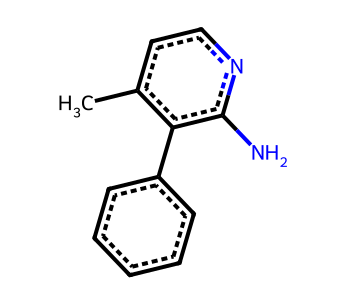 Cc1ccnc(N)c1-c1ccccc1